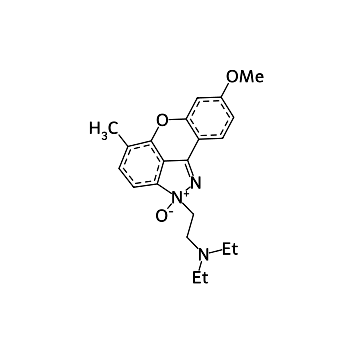 CCN(CC)CC[N+]1([O-])N=C2c3ccc(OC)cc3Oc3c(C)ccc1c32